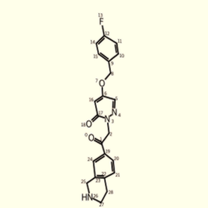 O=C(Cn1ncc(OCc2ccc(F)cc2)cc1=O)c1ccc2c(c1)CNCC2